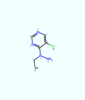 CC(C)CN(N)c1ncncc1Cl